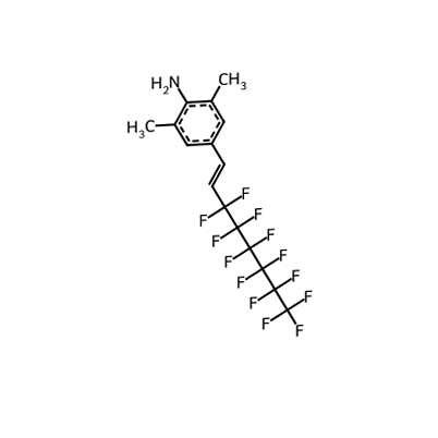 Cc1cc(C=CC(F)(F)C(F)(F)C(F)(F)C(F)(F)C(F)(F)C(F)(F)F)cc(C)c1N